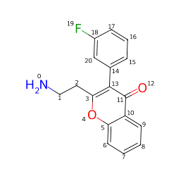 NCCc1oc2ccccc2c(=O)c1-c1cccc(F)c1